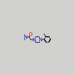 Cc1ccccc1N1CCN(CC(=O)N(C)C)CC1